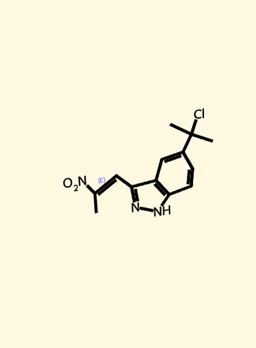 C/C(=C\c1n[nH]c2ccc(C(C)(C)Cl)cc12)[N+](=O)[O-]